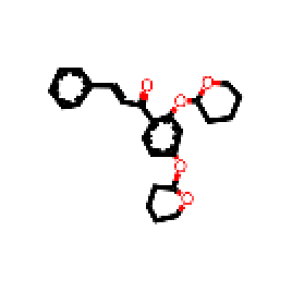 O=C(/C=C/c1ccccc1)c1ccc(OC2CCCCO2)cc1OC1CCCCO1